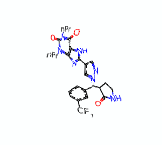 CCCn1c(=O)c2[nH]c(-c3cnn(C(c4cccc(C(F)(F)F)c4)C4CCNC4=O)c3)nc2n(CCC)c1=O